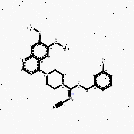 COc1cc2ncnc(N3CCN(/C(=N\C#N)NCc4cccc(Cl)c4)CC3)c2cc1OC